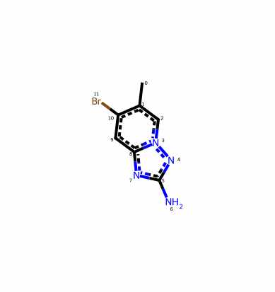 Cc1cn2nc(N)nc2cc1Br